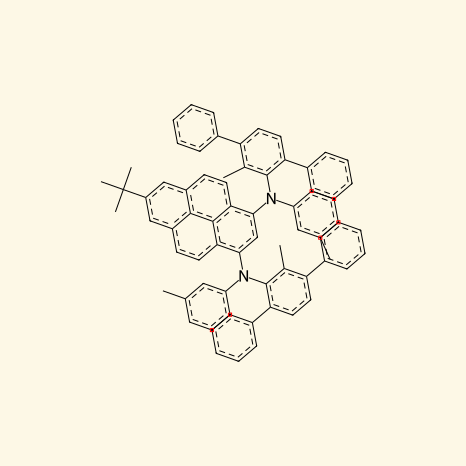 Cc1cccc(N(c2c(-c3ccccc3)ccc(-c3ccccc3)c2C)c2cc(N(c3cccc(C)c3)c3c(-c4ccccc4)ccc(-c4ccccc4)c3C)c3ccc4cc(C(C)(C)C)cc5ccc2c3c54)c1